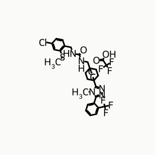 CSc1cc(Cl)ccc1CNC(=O)NCC12CCC(c3nnc(-c4ccccc4C(F)(F)F)n3C)(CC1)CC2.O=C(O)C(F)(F)F